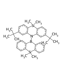 CC(C)(C)c1ccc2c(c1)N(B1c3ccccc3[Si](C)(C)c3ccccc31)c1cc(C(C)(C)C)ccc1[Si]2(C)C